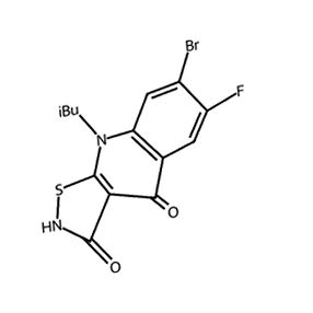 CCC(C)n1c2cc(Br)c(F)cc2c(=O)c2c(=O)[nH]sc21